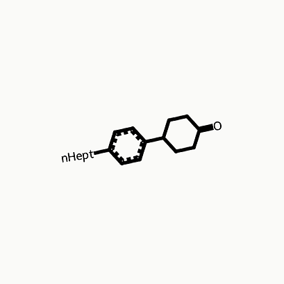 CCCCCCCc1ccc(C2CCC(=O)CC2)cc1